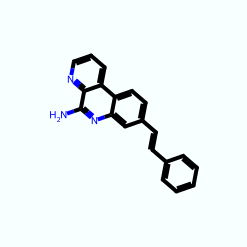 Nc1nc2cc(C=Cc3ccccc3)ccc2c2cccnc12